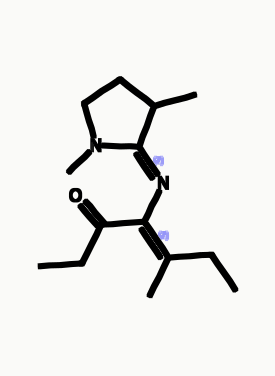 CCC(=O)C(/N=C1/C(C)CCN1C)=C(\C)CC